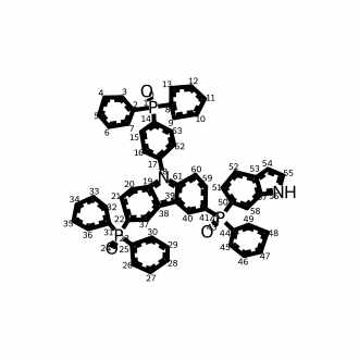 O=P(c1ccccc1)(c1ccccc1)c1ccc(-n2c3ccc(P(=O)(c4ccccc4)c4ccccc4)cc3c3cc(P(=O)(c4ccccc4)c4ccc5cc[nH]c5c4)ccc32)cc1